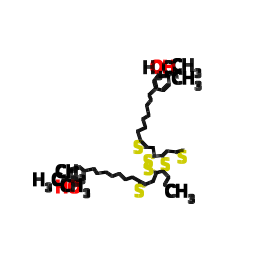 CCCC1SC(CC2CS2)C(CC2SC2CCCCCCCc2ccc(C(C)(C)C)c(O)c2)SSC1CC1SC1CCCCCCCc1ccc(C(C)(C)C)c(O)c1